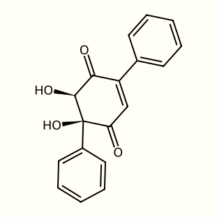 O=C1C(c2ccccc2)=CC(=O)[C@](O)(c2ccccc2)[C@H]1O